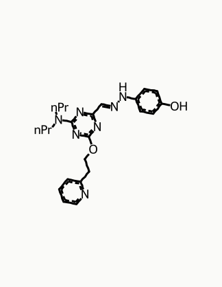 CCCN(CCC)c1nc(/C=N/Nc2ccc(O)cc2)nc(OCCc2ccccn2)n1